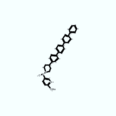 COc1ccc([S+]([O-])N2CCC(c3ccc(-c4ccc(-c5ccc(-c6ccccc6)cc5)cc4)cc3)CC2)cn1